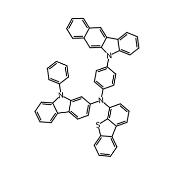 c1ccc(-n2c3ccccc3c3ccc(N(c4ccc(-n5c6ccccc6c6cc7ccccc7cc65)cc4)c4cccc5c4sc4ccccc45)cc32)cc1